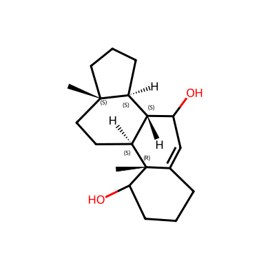 C[C@@]12CCC[C@H]1[C@@H]1C(O)C=C3CCCC(O)[C@]3(C)[C@H]1CC2